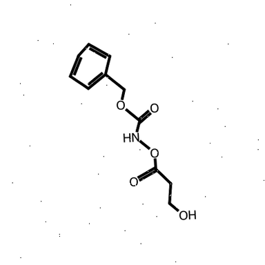 O=C(CCO)ONC(=O)OCc1ccccc1